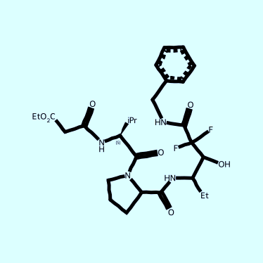 CCOC(=O)CC(=O)N[C@H](C(=O)N1CCCC1C(=O)NC(CC)C(O)C(F)(F)C(=O)NCc1ccccc1)C(C)C